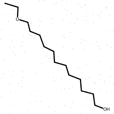 CCOCCCCCCCCCCCCO